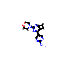 Nc1ncc(-c2nc(N3CCOCC3)nc3c2CC3)cn1